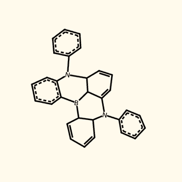 C1=CC2B3c4ccccc4N(c4ccccc4)C4C=CC=C(C34)N(c3ccccc3)C2C=C1